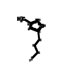 Cc1cc(CCCI)on1